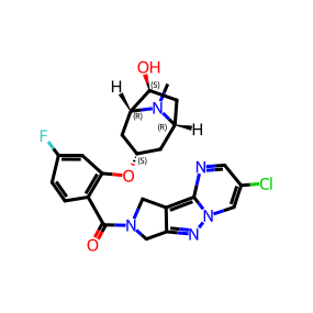 CN1[C@H]2C[C@H](Oc3cc(F)ccc3C(=O)N3Cc4nn5cc(Cl)cnc5c4C3)C[C@@H]1[C@@H](O)C2